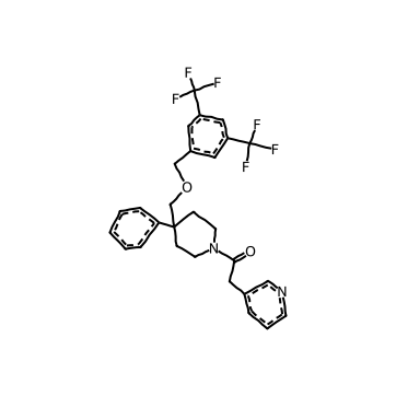 O=C(Cc1cccnc1)N1CCC(COCc2cc(C(F)(F)F)cc(C(F)(F)F)c2)(c2ccccc2)CC1